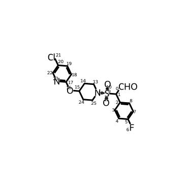 O=CC(c1ccc(F)cc1)S(=O)(=O)N1CCC(Oc2ccc(Cl)cn2)CC1